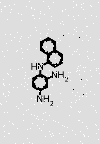 Nc1ccc(Nc2cccc3ccccc23)c(N)c1